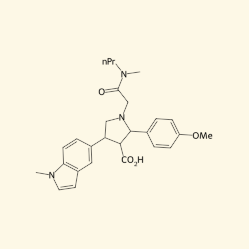 CCCN(C)C(=O)CN1CC(c2ccc3c(ccn3C)c2)C(C(=O)O)C1c1ccc(OC)cc1